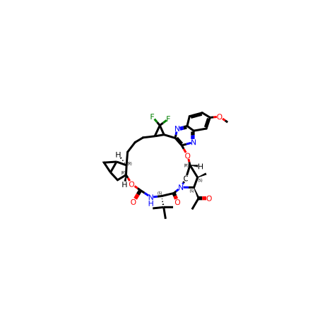 COc1ccc2nc3c(nc2c1)O[C@H]1CN(C(=O)[C@H](C(C)(C)C)NC(=O)O[C@@H]2CC4CC4[C@H]2CCCC2C3C2(F)F)[C@H](C(C)=O)[C@@H]1C